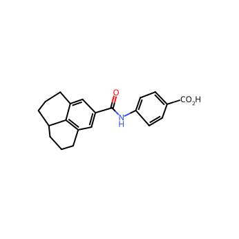 O=C(O)c1ccc(NC(=O)c2cc3c4c(c2)CCCC4CCC3)cc1